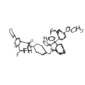 COc1ccc(C2(O)C(=O)N(CC3CCC(NC(=O)c4cc(Cl)cnc4C(F)F)CC3)c3ccccc32)c(F)c1